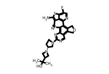 CC(C)(O)C1CN([C@@H]2CCN(c3ncc4c5c(c(-c6ncc(F)c7sc(N)c(C#N)c67)c(F)c4n3)COC5)C2)C1